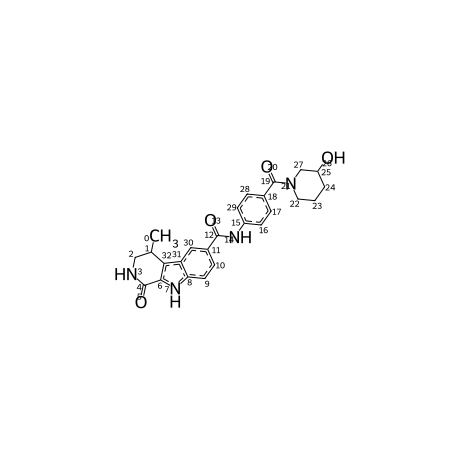 CC1CNC(=O)c2[nH]c3ccc(C(=O)Nc4ccc(C(=O)N5CCCC(O)C5)cc4)cc3c21